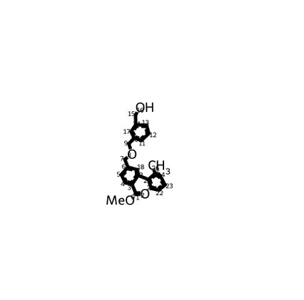 COC(=O)c1ccc(COCc2cccc(CO)c2)cc1-c1ccccc1C